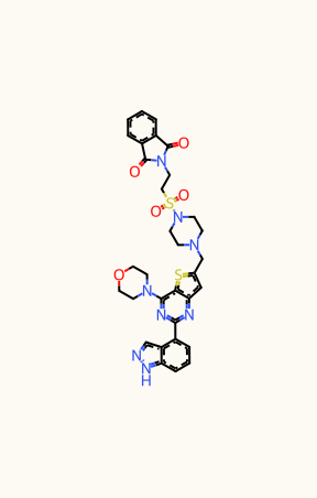 O=C1c2ccccc2C(=O)N1CCS(=O)(=O)N1CCN(Cc2cc3nc(-c4cccc5[nH]ncc45)nc(N4CCOCC4)c3s2)CC1